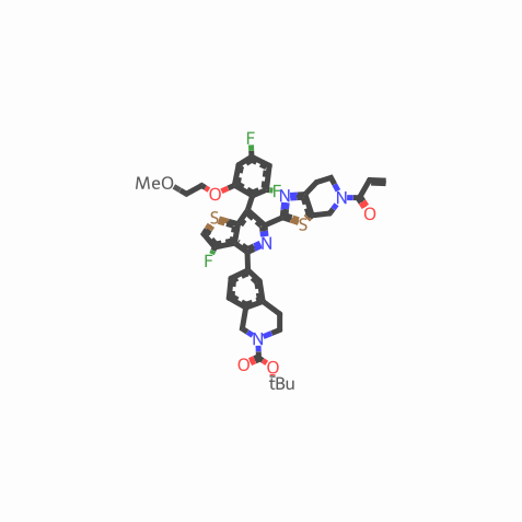 C=CC(=O)N1CCc2nc(-c3nc(-c4ccc5c(c4)CCN(C(=O)OC(C)(C)C)C5)c4c(F)csc4c3-c3c(F)cc(F)cc3OCCOC)sc2C1